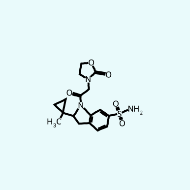 CC1(C2Cc3ccc(S(N)(=O)=O)cc3N2C(=O)CN2CCOC2=O)CC1